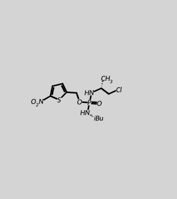 CC[C@@H](C)NP(=O)(N[C@H](C)CCl)OCc1ccc([N+](=O)[O-])s1